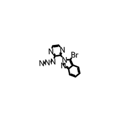 [N-]=[N+]=Nc1nccnc1-n1nc2ccccc2c1Br